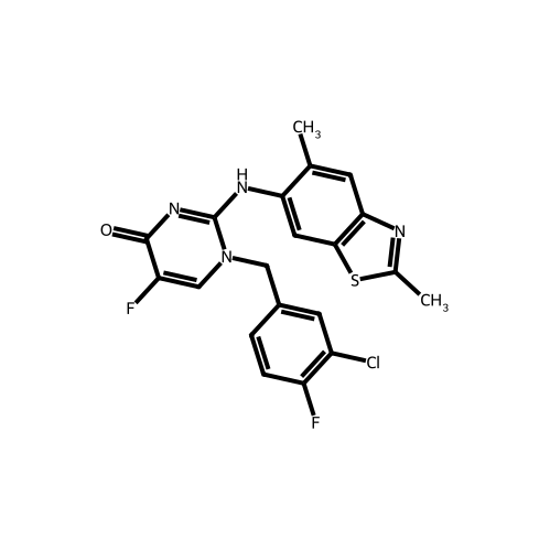 Cc1nc2cc(C)c(Nc3nc(=O)c(F)cn3Cc3ccc(F)c(Cl)c3)cc2s1